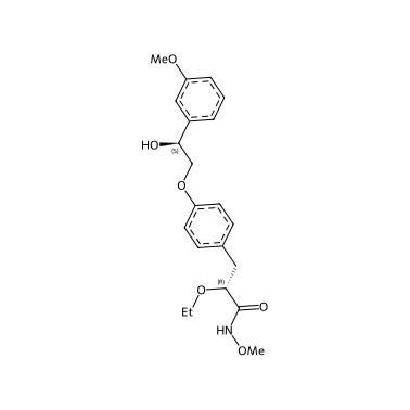 CCO[C@H](Cc1ccc(OC[C@@H](O)c2cccc(OC)c2)cc1)C(=O)NOC